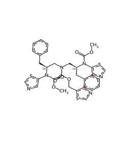 COC(=O)N(c1cncs1)[C@@H](Cc1ccccc1)CN(C[C@H](Cc1ccccc1)N(C(=O)OC)c1cncs1)C(=O)OCc1cncs1